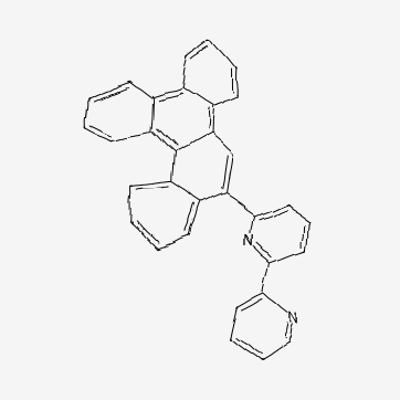 c1ccc(-c2cccc(-c3cc4c5ccccc5c5ccccc5c4c4ccccc34)n2)nc1